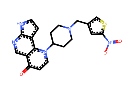 O=c1ccn(C2CCN(Cc3csc([N+](=O)[O-])c3)CC2)c2c1cnc1[nH]ccc12